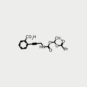 CC(OC(=O)NCC#Cc1ccccc1C(=O)O)OC(=O)C(C)C